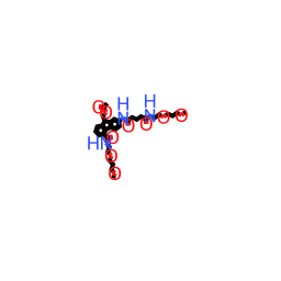 COCCCOCCNC(=O)CCCC(=O)Nc1ccc2c(c1)C(COC(C)=O)c1cccc(C(=O)NCCOCCCOC)c1-2